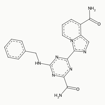 NC(=O)c1nc(NCc2ccccc2)nc(-c2ncc3c(C(N)=O)cccn23)n1